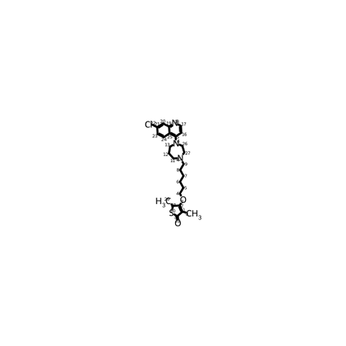 CC1=C(OCCCCCCN2CCCN(c3ccnc4cc(Cl)ccc34)CC2)C(C)SC1=O